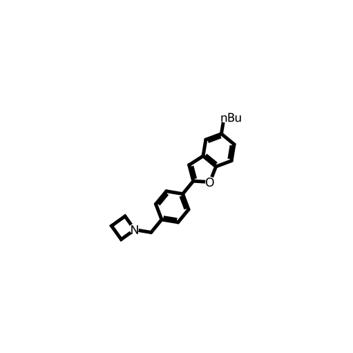 CCCCc1ccc2oc(-c3ccc(CN4CCC4)cc3)cc2c1